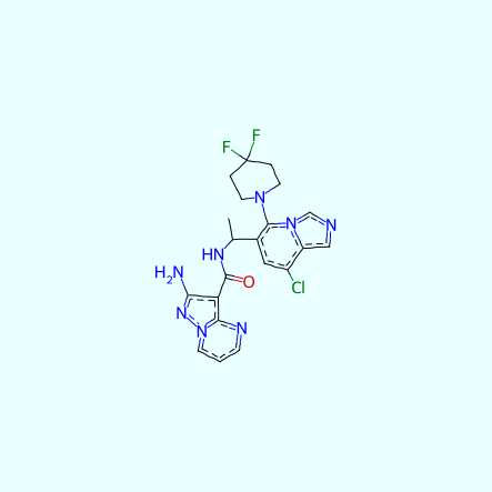 CC(NC(=O)c1c(N)nn2cccnc12)c1cc(Cl)c2cncn2c1N1CCC(F)(F)CC1